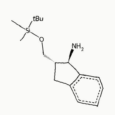 CC(C)(C)[Si](C)(C)OC[C@H]1Cc2ccccc2[C@@H]1N